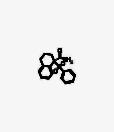 NC(=O)[C@@]1(S(=O)(=O)c2ccccc2)CCCc2ccccc21